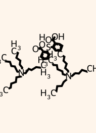 CCCCCC[N+](CCCCCC)(CCCCCC)CCCCCC.CCCCCC[N+](CCCCCC)(CCCCCC)CCCCCC.O=C(O)c1ccccc1Sc1ccccc1C(=O)O